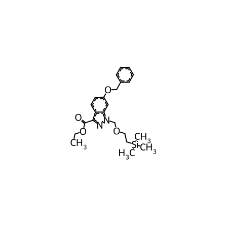 CCOC(=O)c1nn(COCC[Si](C)(C)C)c2cc(OCc3ccccc3)ccc12